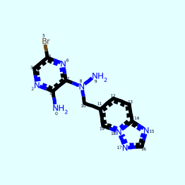 Nc1ncc(Br)nc1N(N)Cc1ccc2ncnn2c1